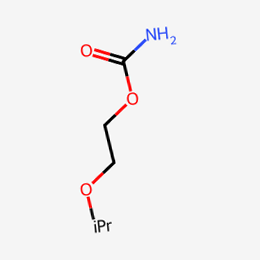 CC(C)OCCOC(N)=O